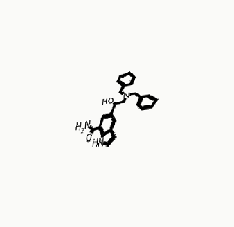 NC(=O)c1cc(C(O)CN(Cc2ccccc2)Cc2ccccc2)cc2cc[nH]c12